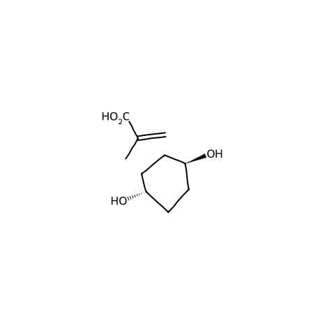 C=C(C)C(=O)O.O[C@H]1CC[C@H](O)CC1